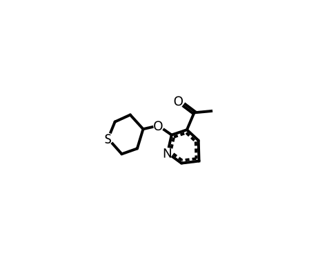 CC(=O)c1cccnc1OC1CCSCC1